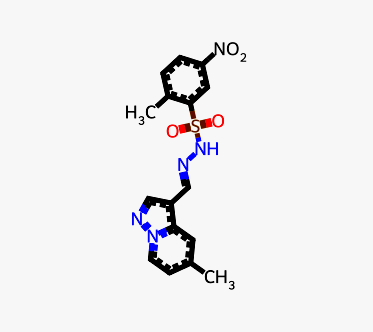 Cc1ccn2ncc(C=NNS(=O)(=O)c3cc([N+](=O)[O-])ccc3C)c2c1